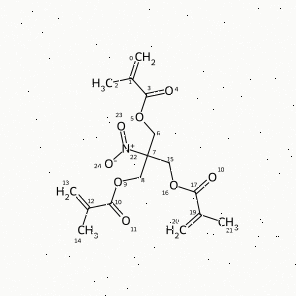 C=C(C)C(=O)OCC(COC(=O)C(=C)C)(COC(=O)C(=C)C)[N+](=O)[O-]